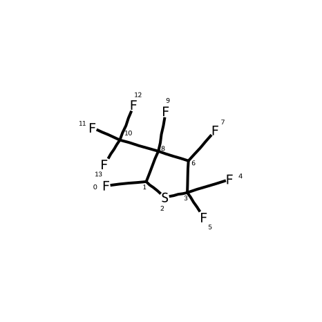 FC1SC(F)(F)C(F)C1(F)C(F)(F)F